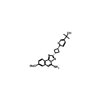 COc1ccc2c(c1)nc(N)n1nc([C@H]3C[C@H](c4ccc(C(C)(C)O)cn4)C3)nc21